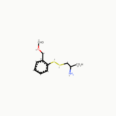 NC(CSSc1ccccc1COC=O)C(=O)O